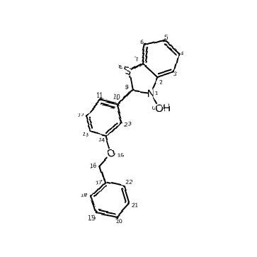 ON1c2ccccc2SC1c1cccc(OCc2ccccc2)c1